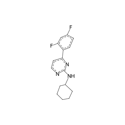 Fc1ccc(-c2ccnc(NC3CCCCC3)n2)c(F)c1